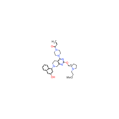 C=CC(=O)N1CCN(c2nc(OC[C@H]3CCCN3CCOC)nc3c2CCN(c2cc(O)cc4ccccc24)C3)CC1